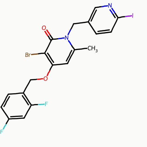 Cc1cc(OCc2ccc(F)cc2F)c(Br)c(=O)n1Cc1ccc(I)nc1